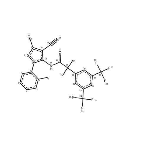 Cc1ccccc1-c1sc(Br)c(C#N)c1NC(=O)C(C)(C)c1cc(C(F)(F)F)cc(C(F)(F)F)c1